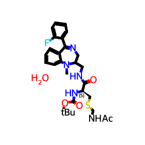 CC(=O)NCSC[C@@H](NC(=O)OC(C)(C)C)C(=O)NCC1CN=C(c2ccccc2F)c2ccccc2N1C.O